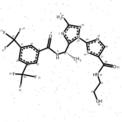 Cc1nc([C@H](C)NC(=O)c2cc(C(F)(F)F)cc(C(F)(F)F)c2)n(-c2ncc(C(=O)NCCO)s2)n1